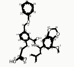 COc1cc(C(CC(C)C)NC(=O)c2cc(COc3ccccc3)ccc2CCC(=O)O)cc2c1OCO2